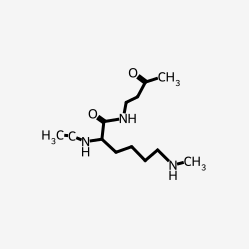 CCNC(CCCCNC)C(=O)NCCC(C)=O